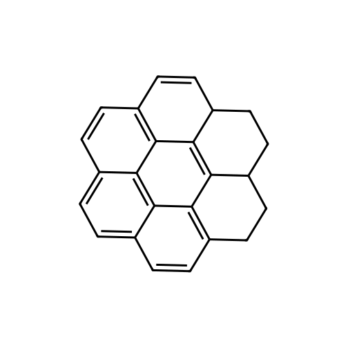 C1=CC2CCC3CCc4ccc5ccc6ccc1c1c2c3c4c5c61